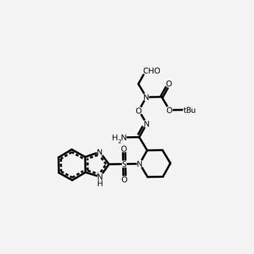 CC(C)(C)OC(=O)N(CC=O)ON=C(N)C1CCCCN1S(=O)(=O)c1nc2ccccc2[nH]1